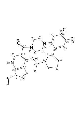 CCn1ncc2c(NC(C)C3CCCCC3)c(C(=O)N3CCN(c4ccc(Cl)c(Cl)c4)CC3)cnc21